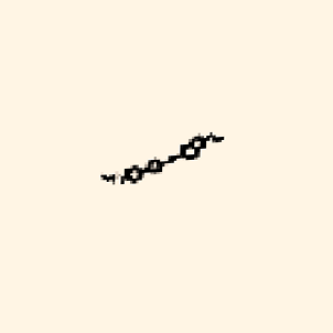 CCCOc1ccc(-c2ccc(C#Cc3ccc4cc(CCC)ccc4c3)cc2)cc1